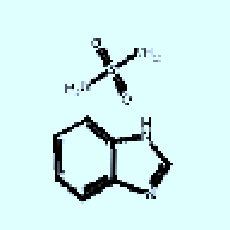 NS(N)(=O)=O.c1ccc2[nH]cnc2c1